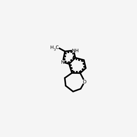 Cc1nc2c3c(ccc2[nH]1)OCCCC3